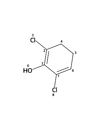 OC1=C(Cl)CCC=C1Cl